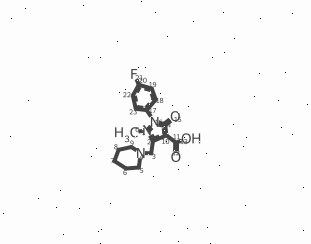 Cn1c(CN2CCCCC2)c(C(=O)O)c(=O)n1-c1ccc(F)cc1